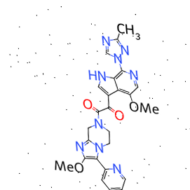 COc1nc2n(c1-c1ccccn1)CCN(C(=O)C(=O)c1c[nH]c3c(-n4cnc(C)n4)ncc(OC)c13)C2